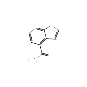 NC(=O)c1ccnc2sccc12